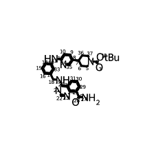 CC(C)(C)OC(=O)N1CCC(c2ccc(Nc3cccc(CNc4ncnc5c(C(N)=O)cccc45)c3)nc2)CC1